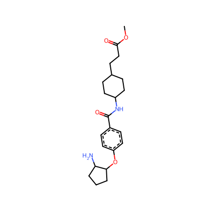 COC(=O)CCC1CCC(NC(=O)c2ccc(OC3CCCC3N)cc2)CC1